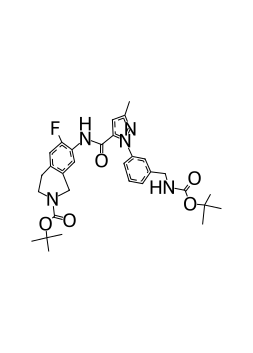 Cc1cc(C(=O)Nc2cc3c(cc2F)CCN(C(=O)OC(C)(C)C)C3)n(-c2cccc(CNC(=O)OC(C)(C)C)c2)n1